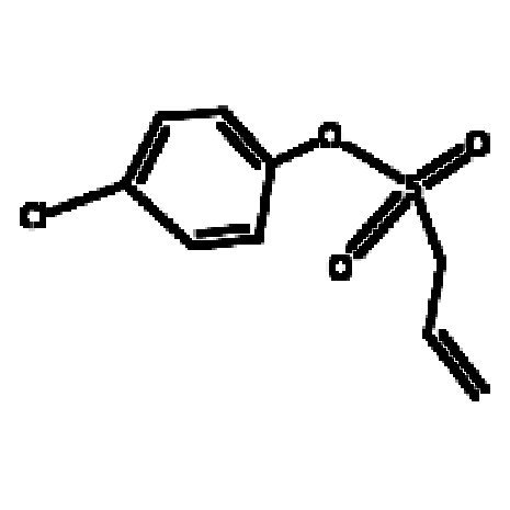 C=CCS(=O)(=O)Oc1ccc(Cl)cc1